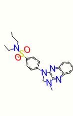 CCCN(CC)S(=O)(=O)c1ccc(N2CN(C)c3nc4ccccc4nc32)cc1